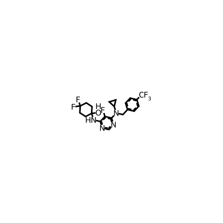 OC1(Nc2ncnc(N(Cc3ccc(C(F)(F)F)cc3)C3CC3)c2F)CCC(F)(F)CC1